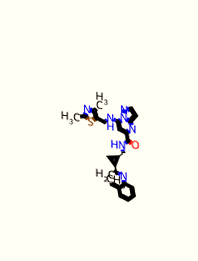 C=C(/N=C1/C=CC=C/C1=C/C)[C@H]1C[C@@H]1CNC(=O)c1cc(NCc2sc(C)nc2C)n2nccc2n1